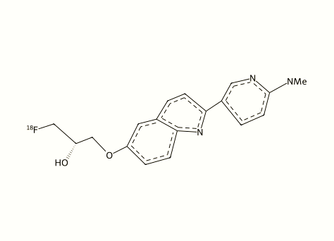 CNc1ccc(-c2ccc3cc(OC[C@H](O)C[18F])ccc3n2)cn1